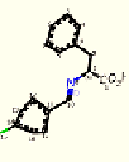 O=C(O)[C@H](Cc1ccccc1)/N=C/c1ccc(Cl)cc1